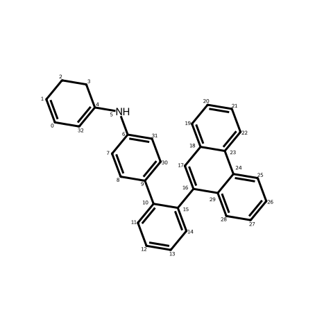 C1=CCCC(Nc2ccc(-c3ccccc3-c3cc4ccccc4c4ccccc34)cc2)=C1